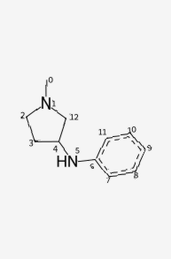 CN1CCC(Nc2ccccc2)C1